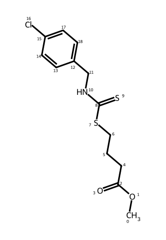 COC(=O)CCCSC(=S)NCc1ccc(Cl)cc1